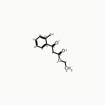 CCOC(=O)CC(=O)c1ccccc1I